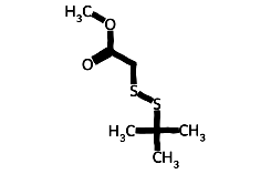 COC(=O)CSSC(C)(C)C